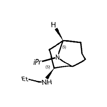 CCN[C@H]1C[C@@H]2CCC1N2C(C)C